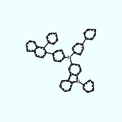 c1ccc(-c2ccc(N(c3ccc(-c4ccc5ccccc5c4-c4ccccc4)cc3)c3ccc4c(c3)c3ccccc3n4-c3ccccc3)cc2)cc1